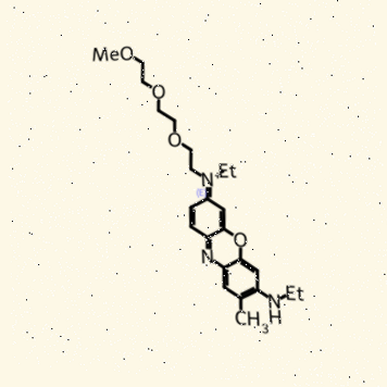 CCNc1cc2oc3c/c(=[N+](\CC)CCOCCOCCOC)ccc-3nc2cc1C